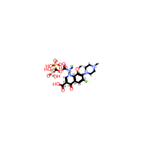 COc1c(N2CCN(C)CC2)c(F)cc2c(=O)c(C(=O)O)cn(N(C)C(=O)OC(P(=O)(O)O)P(=O)(O)O)c12